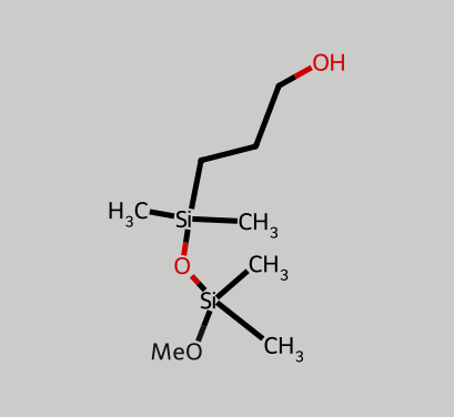 CO[Si](C)(C)O[Si](C)(C)CCCO